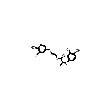 CC(Sc1ccc(O)c(Cl)c1)C(=O)OCCSc1ccc(O)c(Cl)c1